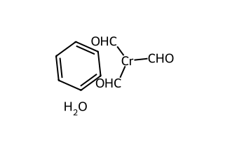 O.O=[CH][Cr]([CH]=O)[CH]=O.c1ccccc1